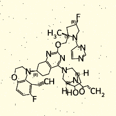 C#Cc1c(F)ccc2c1N([C@@H]1CCc3c(nc(OC[C@]4(C)C[C@@H](F)CN4c4ccncn4)nc3N3C[C@H]4CC(O)[C@@H](C3)N4C(=O)C=C)C1)CCO2